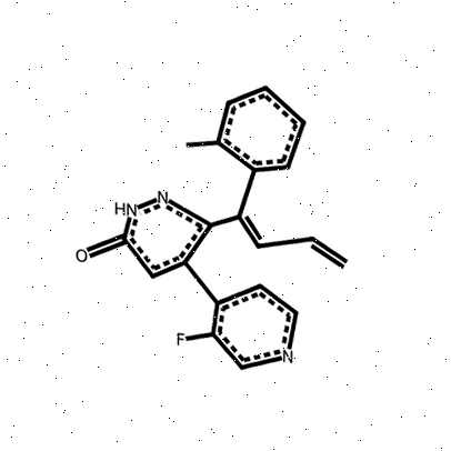 C=C/C=C(\c1ccccc1C)c1n[nH]c(=O)cc1-c1ccncc1F